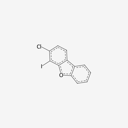 Clc1ccc2c(oc3ccccc32)c1I